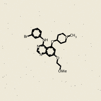 COCCOc1cc(OC2CCN(C)CC2)c2c(Nc3cccc(Br)c3)ncnc2c1